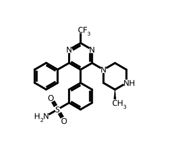 C[C@H]1CN(c2nc(C(F)(F)F)nc(-c3ccccc3)c2-c2cccc(S(N)(=O)=O)c2)CCN1